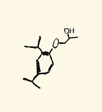 CC(O)COc1ccc(C(C)C)cc1C(C)C